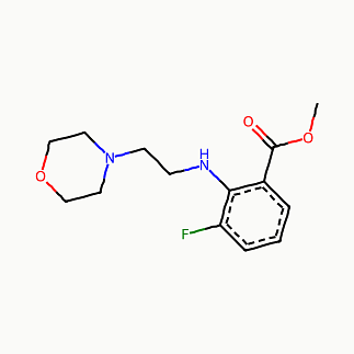 COC(=O)c1cccc(F)c1NCCN1CCOCC1